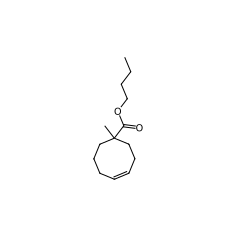 CCCCOC(=O)C1(C)CC/C=C\CCC1